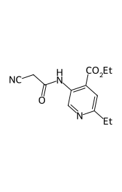 CCOC(=O)c1cc(CC)ncc1NC(=O)CC#N